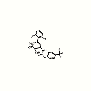 CN(Cc1ccc(C(F)(F)F)cc1)C(=O)c1nc(-c2c(F)cccc2F)[nH]c(=O)c1O